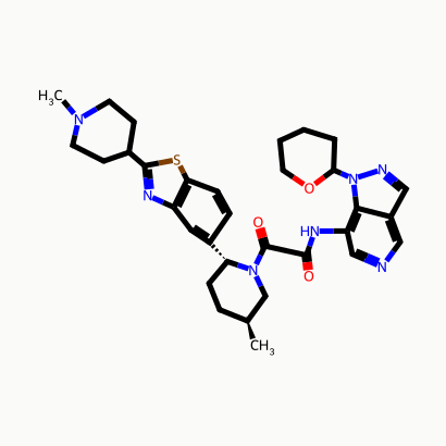 C[C@H]1CC[C@H](c2ccc3sc(C4CCN(C)CC4)nc3c2)N(C(=O)C(=O)Nc2cncc3cnn(C4CCCCO4)c23)C1